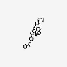 C/C(=C\CC1CC=C(C2C=CC3=C(C2)C2(c4ccccc4Oc4ccccc42)c2cc(-c4ccc(C#N)cc4)ccc23)CC1)C1=CC=CCC1